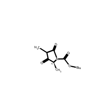 CC1C(=O)[C@H](C)N(C(=O)OC(C)(C)C)C1=O